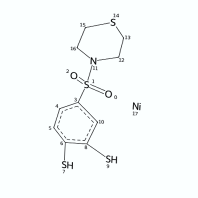 O=S(=O)(c1ccc(S)c(S)c1)N1CCSCC1.[Ni]